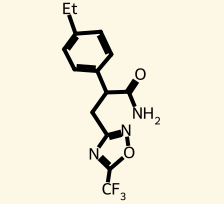 CCc1ccc(C(Cc2noc(C(F)(F)F)n2)C(N)=O)cc1